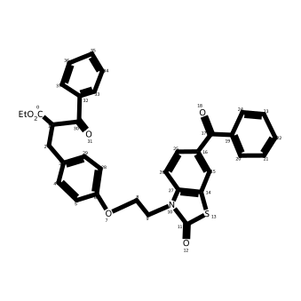 CCOC(=O)C(Cc1ccc(OCCn2c(=O)sc3cc(C(=O)c4ccccc4)ccc32)cc1)C(=O)c1ccccc1